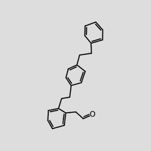 O=CCc1ccccc1CCc1ccc(CCc2ccccc2)cc1